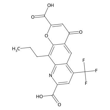 CCCc1c2nc(C(=O)O)cc(C(F)(F)F)c2cc2c(=O)cc(C(=O)O)oc12